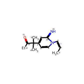 C/C=C\n1ccc(C(C)(C)C(=O)CC)cc1=N